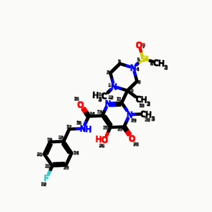 CN1CCN([S+](C)[O-])CC1(C)c1nc(C(=O)NCc2ccc(F)cc2)c(O)c(=O)n1C